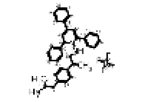 CC(C)Cc1ccc(C(C)CNN2C(c3ccccc3)=CC(c3ccccc3)=CC2c2ccccc2)cc1.F[B-](F)(F)F